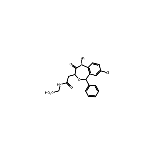 CC(C)N1C(=O)C(CC(=O)NCC(=O)O)OC(c2ccccc2)c2cc(Cl)ccc21